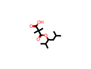 CC(C)CC(OC(=O)C(C)(C)C(=O)O)C(C)C